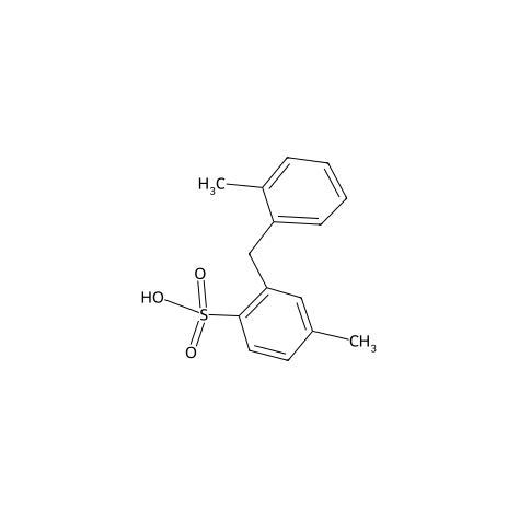 Cc1ccc(S(=O)(=O)O)c(Cc2ccccc2C)c1